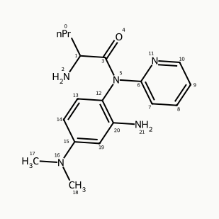 CCCC(N)C(=O)N(c1ccccn1)c1ccc(N(C)C)cc1N